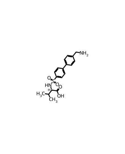 CC(C)[C@@H](NS(=O)(=O)c1ccc(-c2ccc(CN)cc2)cc1)C(=O)O